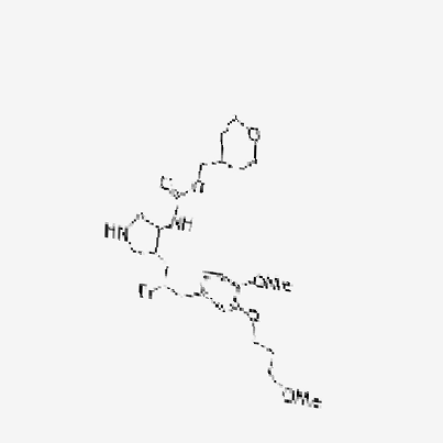 COCCCOc1cc(C[C@@H](C[C@@H]2CNC[C@H]2NC(=O)OCC2CCOCC2)C(C)C)ccc1OC